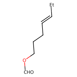 CC/C=C/CCCOC=O